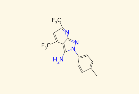 Cc1ccc(-n2nc3nc(C(F)(F)F)cc(C(F)(F)F)c3c2N)cc1